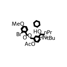 C1CCCCC1.CCCC(NC(C)(C)C)C(O)c1ccc(OC(C)=O)c(COC(=O)c2ccc(OC)cc2Br)c1